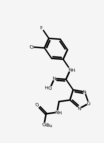 CC(C)COC(=O)NCc1nonc1C(=NO)Nc1ccc(F)c(Cl)c1